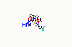 CCc1cccc(CC)c1-n1c(C=C(C)C)c(C(=O)N2CCN[C@@H](C)C2)cc(-c2nc(-c3ccc(C(F)F)cc3)cs2)c1=O